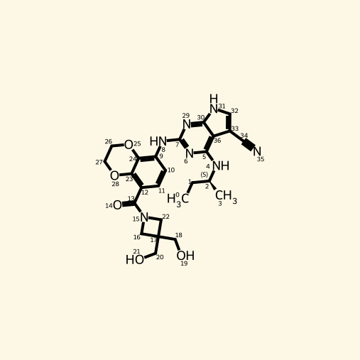 CC[C@H](C)Nc1nc(Nc2ccc(C(=O)N3CC(CO)(CO)C3)c3c2OCCO3)nc2[nH]cc(C#N)c12